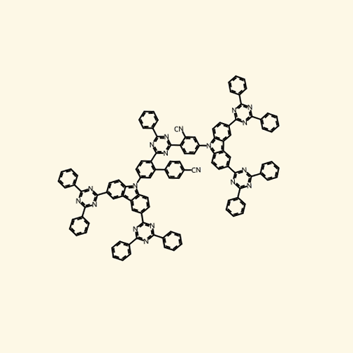 [C-]#[N+]c1cc(-n2c3ccc(-c4nc(-c5ccccc5)nc(-c5ccccc5)n4)cc3c3cc(-c4nc(-c5ccccc5)nc(-c5ccccc5)n4)ccc32)ccc1-c1nc(-c2ccccc2)nc(-c2ccc(-n3c4ccc(-c5nc(-c6ccccc6)nc(-c6ccccc6)n5)cc4c4cc(-c5nc(-c6ccccc6)nc(-c6ccccc6)n5)ccc43)cc2-c2ccc(C#N)cc2)n1